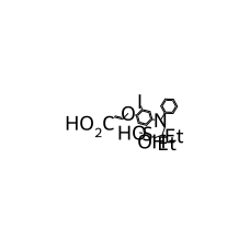 CCC1(CC)CN(c2ccccc2)c2cc(I)c(O/C=C/C(=O)O)cc2S(O)(O)C1